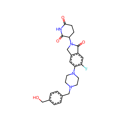 O=C1CCC(N2Cc3cc(N4CCN(Cc5ccc(CO)cc5)CC4)c(F)cc3C2=O)C(=O)N1